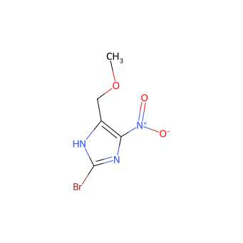 COCc1[nH]c(Br)nc1[N+](=O)[O-]